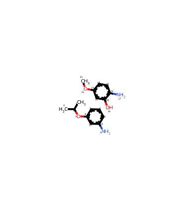 CC(C)Oc1cccc(N)c1.COc1ccc(N)c(O)c1